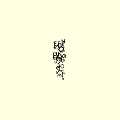 CN1CCC(OC(=O)[C@H]2C[C@@]3(C)O[C@]2(C)[C@H]2C(=O)N(c4ccc(C#N)c(C(F)(F)F)c4)C(=O)[C@H]23)CC1